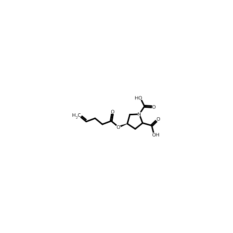 C=CCCC(=O)O[C@@H]1CC(C(=O)O)N(C(=O)O)C1